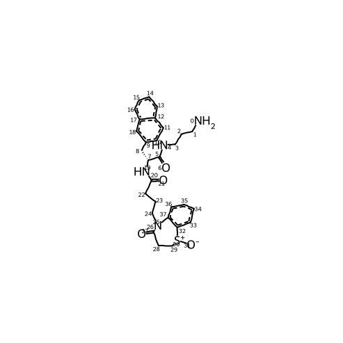 NCCCNC(=O)[C@@H](Cc1ccc2ccccc2c1)NC(=O)CCCN1C(=O)CC[S+]([O-])c2ccccc21